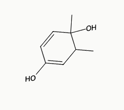 CC1C=C(O)C=CC1(C)O